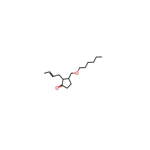 C/C=C/CC1C(=O)CCC1COCCCCCC